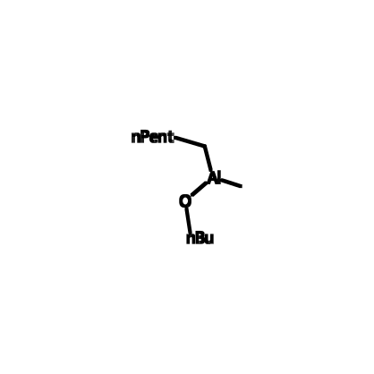 CCCCC[CH2][Al]([CH3])[O]CCCC